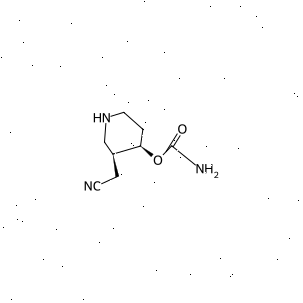 N#CC[C@H]1CNCC[C@H]1OC(N)=O